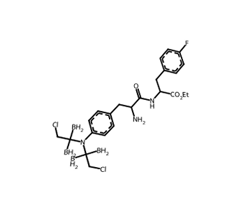 BC(B)(CCl)N(c1ccc(CC(N)C(=O)NC(Cc2ccc(F)cc2)C(=O)OCC)cc1)C(B)(B)CCl